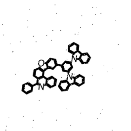 c1ccc(-c2nc3ccccc3c3c2ccc2oc4ccc(-c5cc(-n6c7ccccc7c7ccccc76)cc(-n6c7ccccc7c7ccccc76)c5)cc4c23)cc1